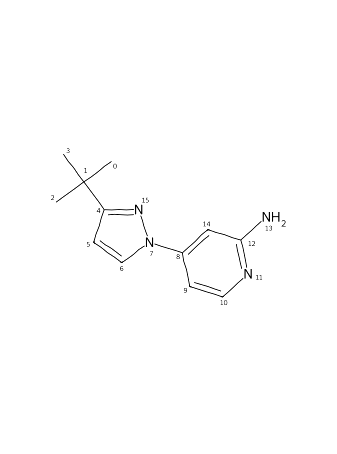 CC(C)(C)c1ccn(-c2ccnc(N)c2)n1